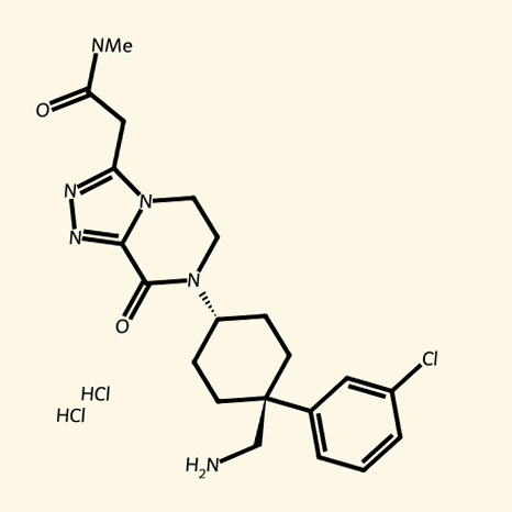 CNC(=O)Cc1nnc2n1CCN([C@H]1CC[C@@](CN)(c3cccc(Cl)c3)CC1)C2=O.Cl.Cl